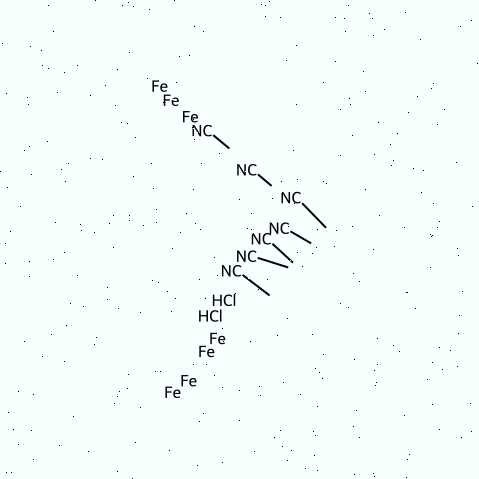 CC#N.CC#N.CC#N.CC#N.CC#N.CC#N.CC#N.Cl.Cl.[Fe].[Fe].[Fe].[Fe].[Fe].[Fe].[Fe]